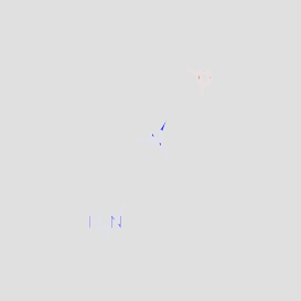 NC1CCN([C@H]2CCOC2)CC1